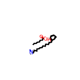 CCCCCCCC(=O)O.CN(C)CCCCCCCCCCCCCc1ccccc1